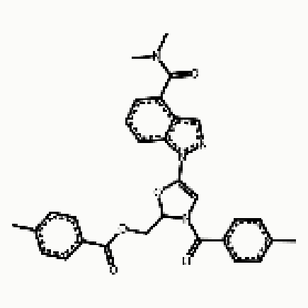 Cc1ccc(C(=O)OCC2OC(n3ncc4c(C(=O)N(C)C)cccc43)=CN2C(=O)c2ccc(C)cc2)cc1